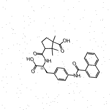 CC1(C(=O)O)CCC(C(=O)N[C@@H](Cc2ccc(NC(=O)c3cccc4ccccc34)cc2)C(=O)O)C1(C)C